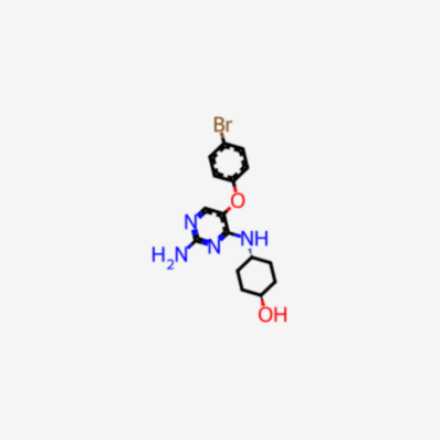 Nc1ncc(Oc2ccc(Br)cc2)c(N[C@H]2CC[C@H](O)CC2)n1